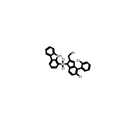 CCc1ccccc1-c1c(CC)ccc2c1C=C(CC(C)C)[CH]2[Zr]([Cl])([Cl])[c]1cccc2c1[SiH2]c1ccccc1-2